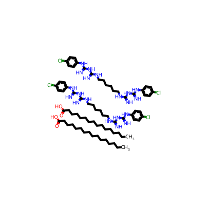 CCCCCCCCCCCCCCCC(=O)O.CCCCCCCCCCCCCCCC(=O)O.N=C(NCCCCCCNC(=N)NC(=N)Nc1ccc(Cl)cc1)NC(=N)Nc1ccc(Cl)cc1.N=C(NCCCCCCNC(=N)NC(=N)Nc1ccc(Cl)cc1)NC(=N)Nc1ccc(Cl)cc1